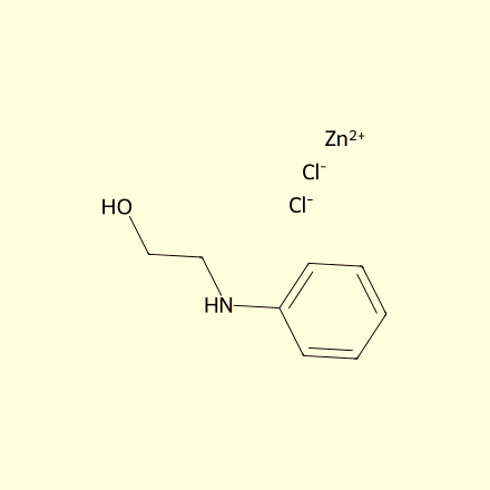 OCCNc1ccccc1.[Cl-].[Cl-].[Zn+2]